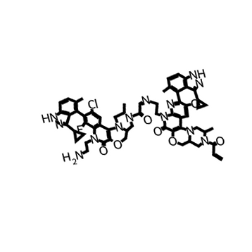 C=CC(=O)N1CC2COc3c(c4cc(Cl)c(-c5c(C)ccc6[nH]nc(C7CC7)c56)nc4n(CC/N=C\C(=O)N4CC5COc6c(c7cc(Cl)c(-c8c(C)ccc9[nH]nc(C%10CC%10)c89)c(F)c7n(CCN)c6=O)N5CC4C)c3=O)N2CC1C